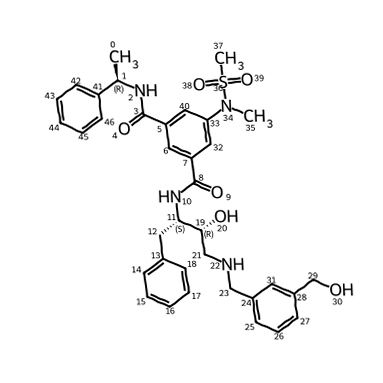 C[C@@H](NC(=O)c1cc(C(=O)N[C@@H](Cc2ccccc2)[C@H](O)CNCc2cccc(CO)c2)cc(N(C)S(C)(=O)=O)c1)c1ccccc1